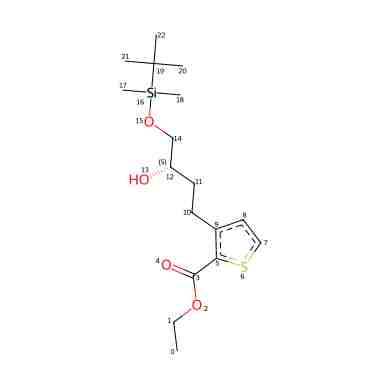 CCOC(=O)c1sccc1CC[C@H](O)CO[Si](C)(C)C(C)(C)C